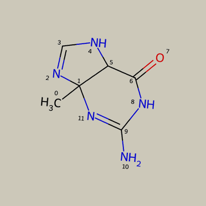 CC12N=CNC1C(=O)NC(N)=N2